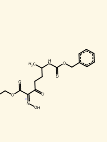 CCOC(=O)/C(=N/O)C(=O)CCC(C)NC(=O)OCc1ccccc1